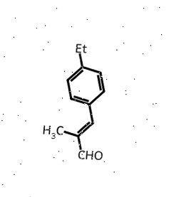 CCc1ccc(C=C(C)C=O)cc1